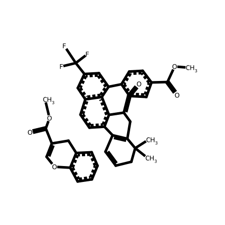 COC(=O)C1=COc2ccccc2C1.COC(=O)c1ccc(-c2cc(C(F)(F)F)cc3ccc4c(c23)C(=C=O)CC2=C4C=CCC2(C)C)cc1